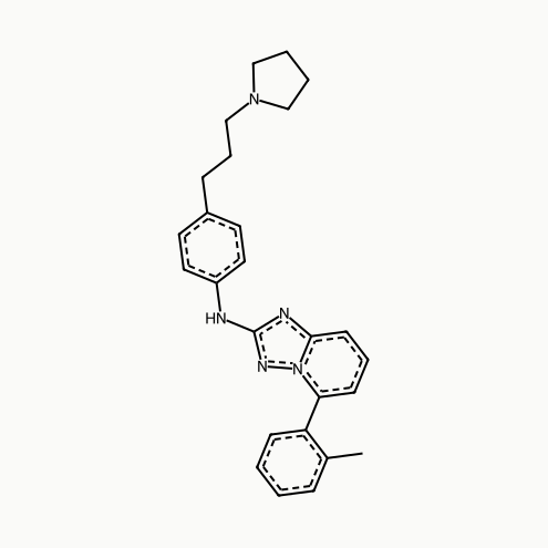 Cc1ccccc1-c1cccc2nc(Nc3ccc(CCCN4CCCC4)cc3)nn12